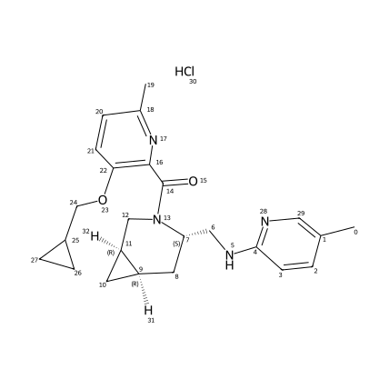 Cc1ccc(NC[C@@H]2C[C@H]3C[C@H]3CN2C(=O)c2nc(C)ccc2OCC2CC2)nc1.Cl